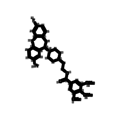 COc1cc(C(=O)OCCN2CCN(C3Cc4ccc(F)cc4Sc4ccc(C(C)C)cc43)CC2)cc(OC)c1OC